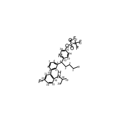 CCCCC(c1cccc(-c2cc(F)ccc2NC(C)C)c1)c1ccc(OS(=O)(=O)C(F)(F)F)cn1